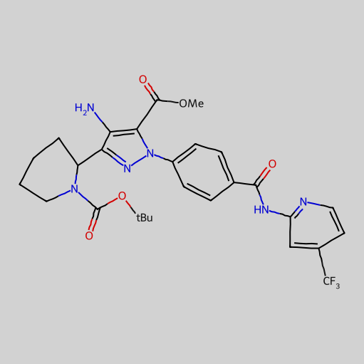 COC(=O)c1c(N)c(C2CCCCN2C(=O)OC(C)(C)C)nn1-c1ccc(C(=O)Nc2cc(C(F)(F)F)ccn2)cc1